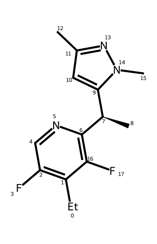 CCc1c(F)cnc([C@H](C)c2cc(C)nn2C)c1F